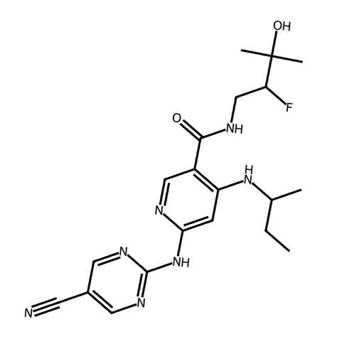 CCC(C)Nc1cc(Nc2ncc(C#N)cn2)ncc1C(=O)NCC(F)C(C)(C)O